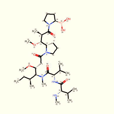 CC[C@H](C)[C@@H]([C@@H](CC(=O)N1CCC[C@H]1[C@H](OC)[C@@H](C)C(=O)N1CCC[C@H]1B(O)O)OC)N(C)C(=O)[C@@H](NC(=O)[C@@H](NC)C(C)C)C(C)C